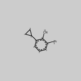 CC(C)c1cccc(C2CC2)c1C#N